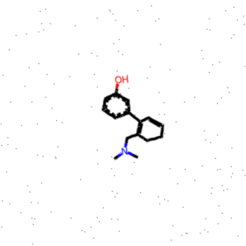 CN(C)CC1=C(c2cccc(O)c2)C=CCC1